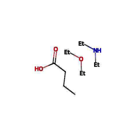 CCCC(=O)O.CCNCC.CCOCC